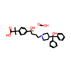 CC(C)(C(=O)O)c1ccc([C@@H](O)CCCN2CCC(C(O)(c3ccccc3)c3ccccc3)CC2)cc1.O=CO